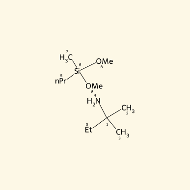 CCC(C)(C)N.CCC[Si](C)(OC)OC